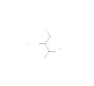 CCCSC(C)C(CC(C)C)C(=O)O